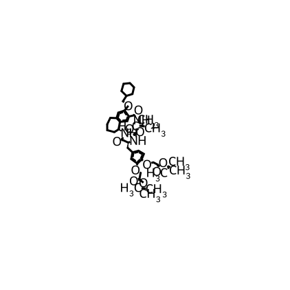 CC(C)(C)OC(=O)COc1ccc(C[C@H](NC(=O)OC(C)(C)C)C(=O)N[C@H]2CCCCc3cc(OCC4CCCCC4)c(C(N)=O)cc32)cc1OCC(=O)OC(C)(C)C